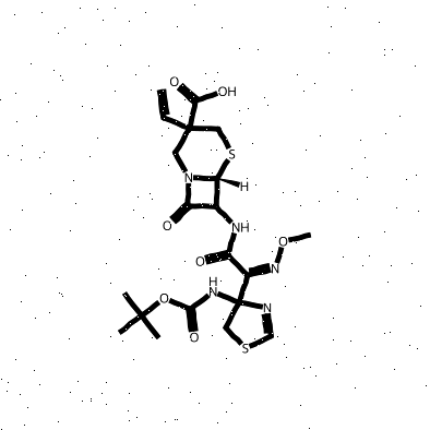 C=CC1(C(=O)O)CS[C@@H]2C(NC(=O)C(=NOC)C3(NC(=O)OC(C)(C)C)CSC=N3)C(=O)N2C1